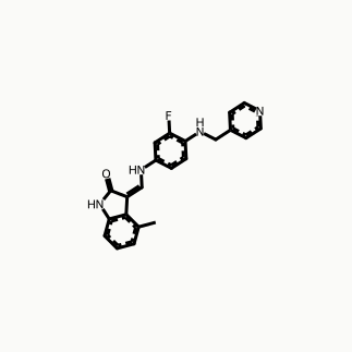 Cc1cccc2c1C(=CNc1ccc(NCc3ccncc3)c(F)c1)C(=O)N2